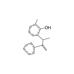 C=C(c1ccccc1)C(C)c1cccc(C)c1O